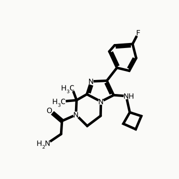 CC1(C)c2nc(-c3ccc(F)cc3)c(NC3CCC3)n2CCN1C(=O)CN